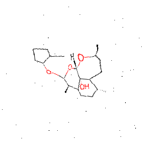 CC1CCCC1OC1O[C@@H]2O[C@@H](C)CCC3[C@H](C)CCC([C@H]1C)[C@]32O